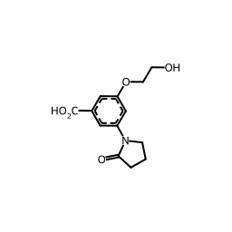 O=C(O)c1cc(OCCO)cc(N2CCCC2=O)c1